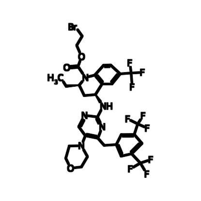 CC[C@@H]1C[C@H](Nc2ncc(N3CCOCC3)c(Cc3cc(C(F)(F)F)cc(C(F)(F)F)c3)n2)c2cc(C(F)(F)F)ccc2N1C(=O)OCCBr